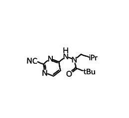 CC(C)CN(Nc1ccnc(C#N)n1)C(=O)C(C)(C)C